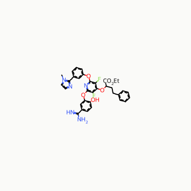 CCOC(=O)C(CCc1ccccc1)Oc1c(F)c(Oc2cccc(-c3nccn3C)c2)nc(Oc2cc(C(=N)N)ccc2O)c1F